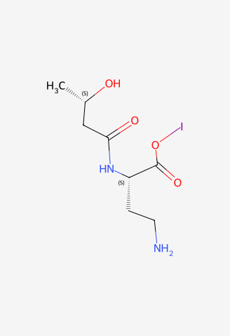 C[C@H](O)CC(=O)N[C@@H](CCN)C(=O)OI